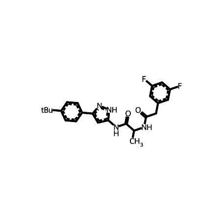 CC(NC(=O)Cc1cc(F)cc(F)c1)C(=O)Nc1cc(-c2ccc(C(C)(C)C)cc2)n[nH]1